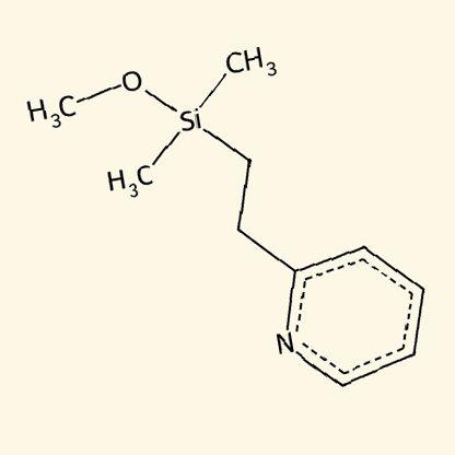 CO[Si](C)(C)CCc1ccccn1